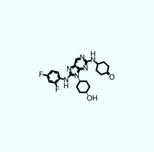 O=C1CCC(Nc2ncc3nc(Nc4ccc(F)cc4F)n([C@H]4CC[C@@H](O)CC4)c3n2)CC1